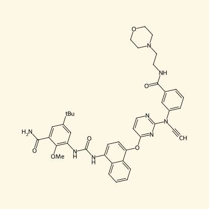 C#CN(c1cccc(C(=O)NCCN2CCOCC2)c1)c1nccc(Oc2ccc(NC(=O)Nc3cc(C(C)(C)C)cc(C(N)=O)c3OC)c3ccccc23)n1